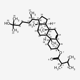 CC(C)[C@@H](C)C(=O)O[C@H]1CC[C@@]2(C)C(=CC[C@@]3(C)[C@@H]4CC[C@H]([C@H](C)CCCC(C)(C)O)[C@@]4(C)CC[C@@H]32)C1